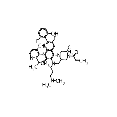 C=CC(=O)N1CC2CN(CCCN(C)C)c3c(c4cc(F)c(-c5c(O)cccc5F)nc4n(-c4c(C)ccnc4C(C)C)c3=O)N2CC1C